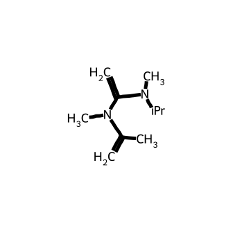 C=C(C)N(C)C(=C)N(C)C(C)C